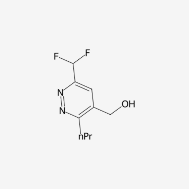 CCCc1nnc(C(F)F)cc1CO